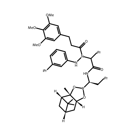 COc1cc(CCC(=O)N(Nc2cccc(C(C)C)c2)C(C(=O)N[C@@H](CC(C)C)B2O[C@@H]3C[C@@H]4C[C@@H](C4(C)C)[C@]3(C)O2)C(C)C)cc(OC)c1OC